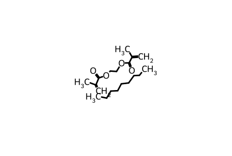 C=C(C)C(=O)OCCOC(=O)C(=C)C.CCCCCCCCC